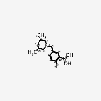 C[C@@H]1CN(Cc2ccc(F)c(B(O)O)c2)C[C@H](C)O1